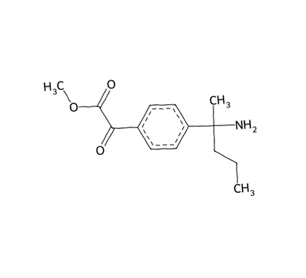 CCCC(C)(N)c1ccc(C(=O)C(=O)OC)cc1